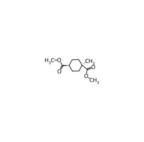 COC(=O)[C@H]1CC[C@@](C)(C(=O)OC)CC1